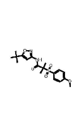 COc1ccc(S(=O)(=O)C(C)(C)C(=O)Nc2cc(C(C)(C)C)on2)cc1